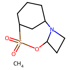 C.O=S1(=O)OC2CCN2C2CCCC1C2